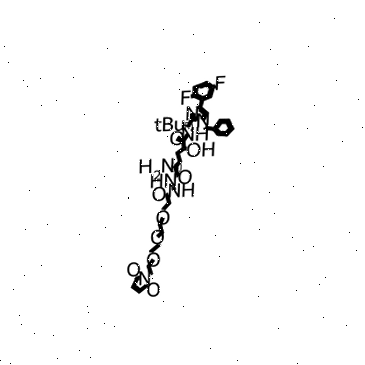 CC(C)(C)[C@@H](NC(=O)C(O)CC[C@H](N)C(=O)NNC(=O)CCOCCOCCOCCN1C(=O)C=CC1=O)c1nc(-c2cc(F)ccc2F)cn1Cc1ccccc1